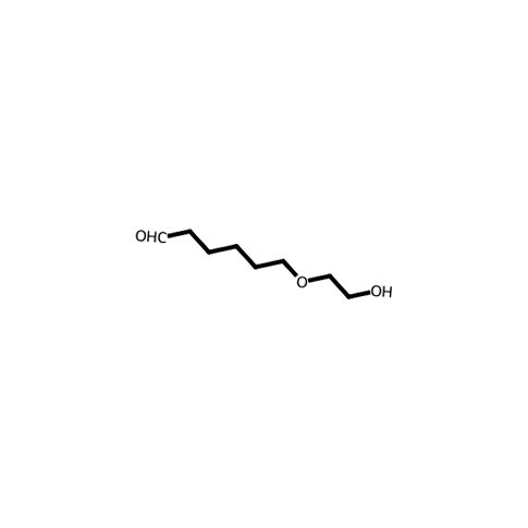 O=CCCCCCOCCO